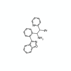 CC(C)C(c1ccccn1)C(N)c1ccccc1-c1noc2ccccc12